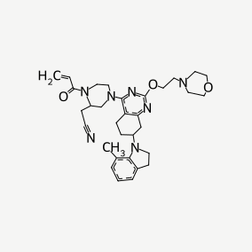 C=CC(=O)N1CCN(c2nc(OCCN3CCOCC3)nc3c2CCC(N2CCc4cccc(C)c42)C3)CC1CC#N